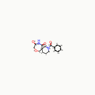 O=C1COCC2(CCCN(C(=O)c3ccccc3)C2)C(=O)N1